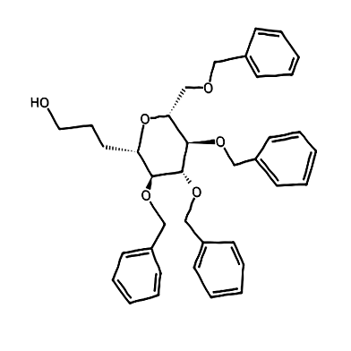 OCCC[C@@H]1O[C@H](COCc2ccccc2)[C@@H](OCc2ccccc2)[C@H](OCc2ccccc2)[C@H]1OCc1ccccc1